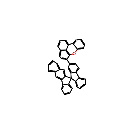 c1ccc2c(c1)Oc1c(-c3ccc4c(c3)C3(c5ccccc5-4)c4ccccc4-c4cc5ccccc5cc43)ccc3cccc-2c13